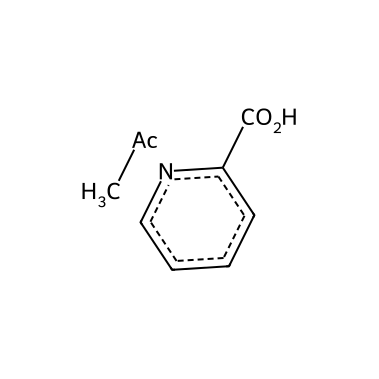 CC(C)=O.O=C(O)c1ccccn1